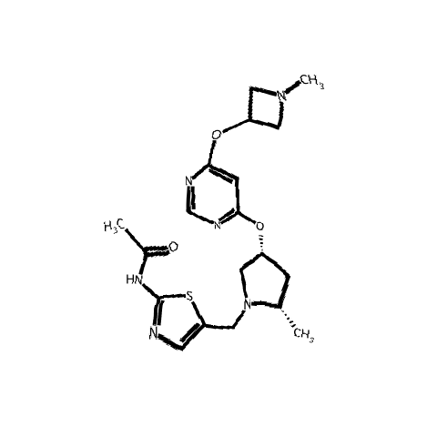 CC(=O)Nc1ncc(CN2C[C@H](Oc3cc(OC4CN(C)C4)ncn3)C[C@@H]2C)s1